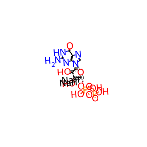 Nc1nc2c(ncn2[C@@H]2O[C@H](COP(=O)(O)OP(=O)(O)O)[C@@H](O)[C@H]2O)c(=O)[nH]1.[NaH].[NaH]